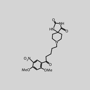 COc1cc(OC)c([N+](=O)[O-])cc1C(=O)CCCCN1CCC2(CC1)NC(=O)NC2=O